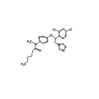 CCCCCC(=O)N(C)c1ccc(OC(Cn2ccnc2)c2ccc(Cl)cc2Cl)cc1